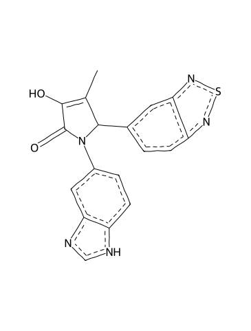 CC1=C(O)C(=O)N(c2ccc3[nH]cnc3c2)C1c1ccc2nsnc2c1